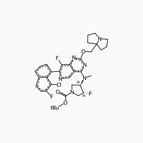 CN(c1nc(OCC23CCCN2CCC3)nc2c(F)c(-c3cccc4ccc(F)c(Cl)c34)ncc12)[C@@H]1CN(C(=O)OC(C)(C)C)C[C@H]1F